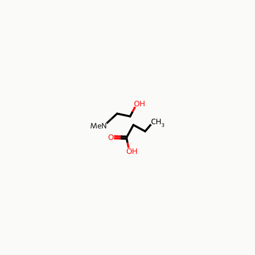 CCCC(=O)O.CNCCO